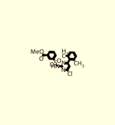 COC(=O)c1cccc(S(=O)(=O)Nc2nc(Cl)cc(-c3c(C)cccc3C)n2)c1